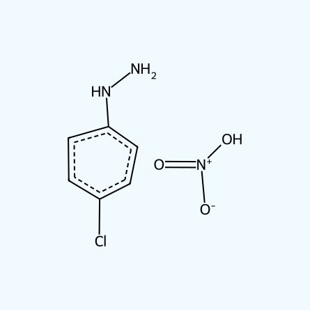 NNc1ccc(Cl)cc1.O=[N+]([O-])O